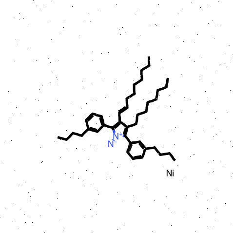 CCCCCCCC=CC1=C(c2cccc(CCCC)c2)[N+](=[N-])C(c2cccc(CCCC)c2)=C1CCCCCCCC.[Ni]